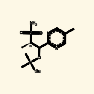 Cc1cnc(C(O[Si](C)(C)C(C)(C)C)[C@H](C)S(N)(=O)=O)nc1